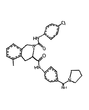 Cc1cccc2c1CC(C(=O)Nc1ccc(C(=N)N3CCCC3)cc1)N(C(=O)Nc1ccc(Cl)cc1)C2